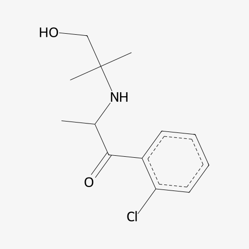 CC(NC(C)(C)CO)C(=O)c1ccccc1Cl